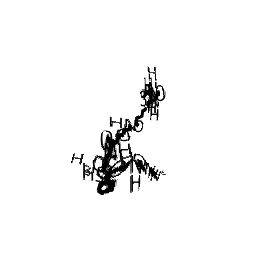 CC(C)(CNC(=O)CCOCCNC(=O)CCCC[C@@H]1SC[C@@H]2NC(=O)N[C@@H]21)O[Si@@H](OCCNC(=O)CN=[N+]=[N-])c1ccccc1